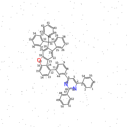 c1ccc(-c2cc(-c3cccc(-c4cccc5oc6cc7c(cc6c45)-c4ccccc4C7(c4ccccc4)c4ccccc4)c3)nc(-c3ccccc3)n2)cc1